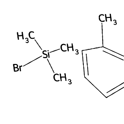 C[Si](C)(C)Br.Cc1ccccc1